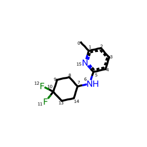 Cc1cccc(NC2CCC(F)(F)CC2)n1